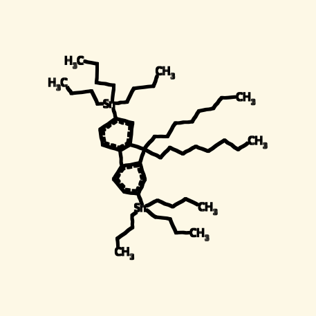 CCCCCCCCC1(CCCCCCCC)c2c[c]([Sn]([CH2]CCC)([CH2]CCC)[CH2]CCC)ccc2-c2cc[c]([Sn]([CH2]CCC)([CH2]CCC)[CH2]CCC)cc21